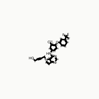 OCC#CCn1ccc2ncnc(Nc3ccc(Oc4cccc(C(F)(F)F)c4)c(Cl)c3)c21